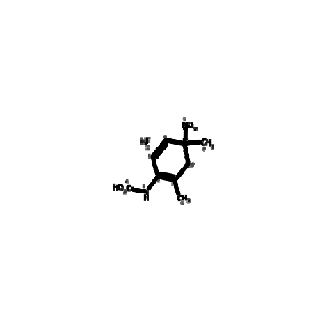 CC1=C(NC(=O)O)C=CC(C)([N+](=O)[O-])C1.F